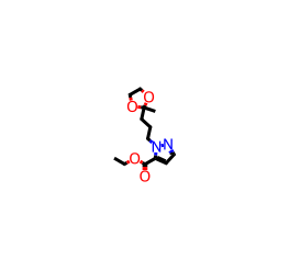 CCOC(=O)c1ccnn1CCCC1(C)OCCO1